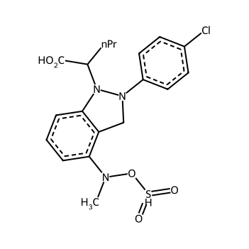 CCCC(C(=O)O)N1c2cccc(N(C)O[SH](=O)=O)c2CN1c1ccc(Cl)cc1